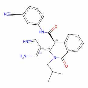 CC(C)CN1C(=O)c2ccccc2[C@H](C(=O)Nc2cccc(C#N)c2)[C@H]1/C(C=N)=C/N